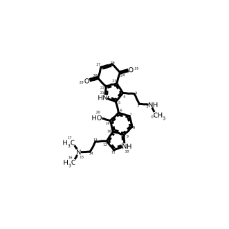 CNCCc1c(-c2ccc3[nH]cc(CCN(C)C)c3c2O)[nH]c2c1C(=O)C=CC2=O